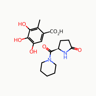 Cc1c(C(=O)O)cc(O)c(O)c1O.O=C1CC[C@H](C(=O)N2CCCCC2)N1